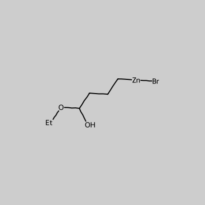 CCOC(O)CC[CH2][Zn][Br]